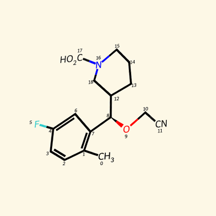 Cc1ccc(F)cc1[C@H](OCC#N)C1CCCN(C(=O)O)C1